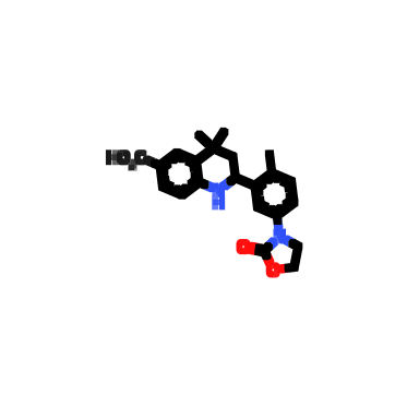 Cc1ccc(N2CCOC2=O)cc1C1CC(C)(C)c2cc(C(=O)O)ccc2N1